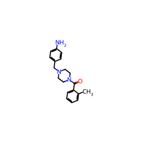 Cc1ccccc1C(=O)N1CCN(Cc2ccc(N)cc2)CC1